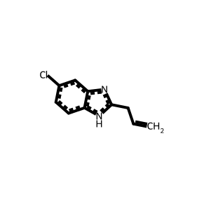 C=CCc1nc2cc(Cl)ccc2[nH]1